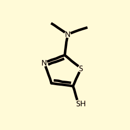 CN(C)c1ncc(S)s1